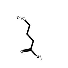 NC(=O)CCCC=O